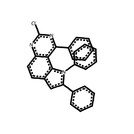 Clc1nc(-c2ccccc2)c2c(ccc3cc(-c4ccccc4)n(-c4ccccc4)c32)n1